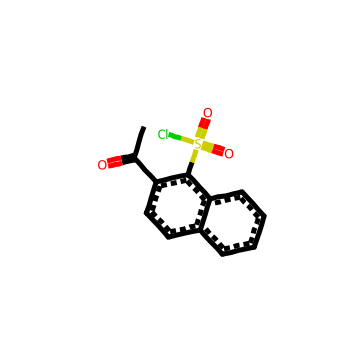 CC(=O)c1ccc2ccccc2c1S(=O)(=O)Cl